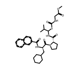 COC(=O)CNC(=O)SC(NC(=O)[C@@H]1CCCN1C(=O)[C@@H](CC1CCCCC1)NC(=O)c1ccc2ccccc2c1)C(C)C